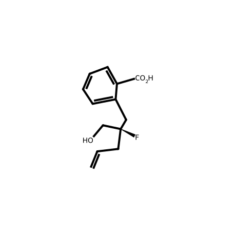 C=CC[C@](F)(CO)Cc1ccccc1C(=O)O